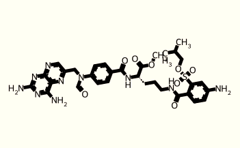 COC(=O)[C@H](CCCNC(=O)c1ccc(N)cc1S(=O)(=O)OCC(C)C)NC(=O)c1ccc(N(C=O)Cc2cnc3nc(N)nc(N)c3n2)cc1